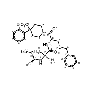 CCOC(=O)C1(c2ccccc2)CCN(C(=O)C(COCc2ccccc2)NC(=O)C(C)(C)NC(=O)OC(C)(C)C)CC1